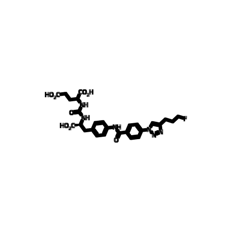 O=C(O)CCC(NC(=O)N[C@@H](Cc1ccc(NC(=O)c2ccc(-n3cc(CCCF)nn3)cc2)cc1)C(=O)O)C(=O)O